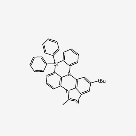 Cc1nc2cc(C(C)(C)C)cc3c2n1-c1cccc2c1B3c1ccccc1[Si]2(c1ccccc1)c1ccccc1